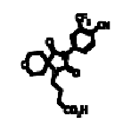 N#Cc1ccc(N2C(=O)N(CCCC(=O)O)C3(CCOCC3)C2=O)cc1C(F)(F)F